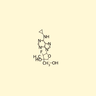 CC1(O)[C@@H](CO)OC(n2cnc3c(NC4CC4)ncnc32)[C@]1(C)F